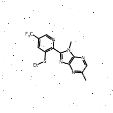 CCSc1cc(C(F)(F)F)cnc1-c1nc2nc(C)cnc2n1C